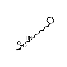 C=CC(=O)OCCNCCCCCCCC1CCCCC1